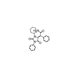 NC(=O)C(=C1C(=O)N(c2ccccc2)C(=O)N1C1CCCCC1)c1ccccc1